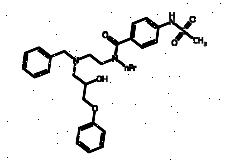 CCCN(CCN(Cc1ccccc1)CC(O)COc1ccccc1)C(=O)c1ccc(NS(C)(=O)=O)cc1